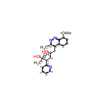 COc1cccc2c(CC(O)CC(c3ccccn3)C(C)(C)O)c(C)nnc12